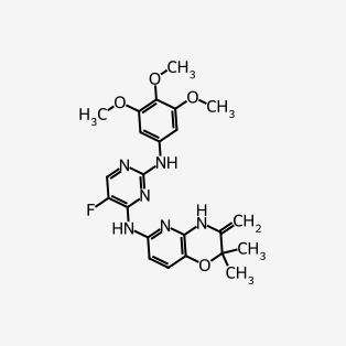 C=C1Nc2nc(Nc3nc(Nc4cc(OC)c(OC)c(OC)c4)ncc3F)ccc2OC1(C)C